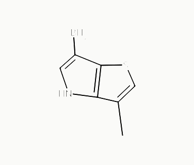 Bc1c[nH]c2c(C)csc12